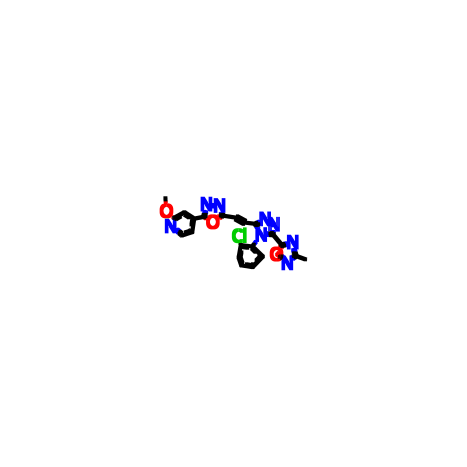 COc1cc(-c2nnc(C#Cc3nnc(-c4nc(C)no4)n3-c3ccccc3Cl)o2)ccn1